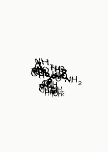 NCCCC[C@@H](NC(=O)c1cccc(O)c1)C(=O)Nc1ccc(C(c2ccc(NC(=O)[C@@H](CCCCN)NC(=O)c3cccc(O)c3)cc2)c2ccc(NC(=O)[C@@H](CCCCN)NC(=O)c3cccc(O)c3)cc2)cc1.O=C(O)C(F)(F)F